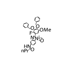 CCCC(=O)Nc1ccc2c(c1)nc(-c1cc(OC)c(OCc3ccccc3)c(OCc3ccccc3)c1F)n2C1(C)COC1